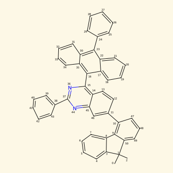 CC1(C)c2ccccc2-c2c(-c3ccc4c(-c5c6ccccc6c(-c6ccccc6)c6ccccc56)nc(-c5ccccc5)nc4c3)cccc21